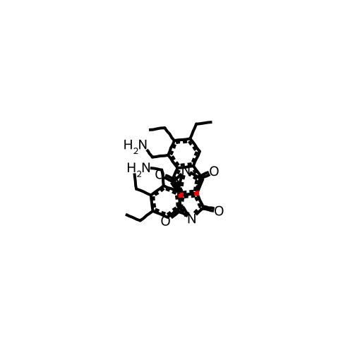 CCc1cc2c(c(CN)c1CC)c1c3c(=O)n4c(=O)c3c2c2c(=O)n(c(=O)c21)c1c(CN)c(CC)c(CC)cc14